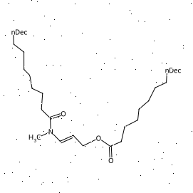 CCCCCCCCCCCCCCCCCC(=O)OCC=CN(C)C(=O)CCCCCCCCCCCCCCCCC